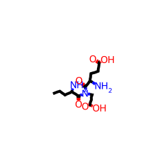 CCCC(N)C(=O)N(CC(=O)O)C(=O)C(N)CCC(=O)O